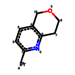 CC(C)c1ccc2c(n1)CCOC2